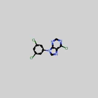 Clc1cc(Cl)cc(-n2cnc3c(Cl)ncnc32)c1